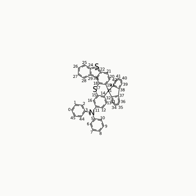 c1ccc(N(c2ccccc2)c2ccc3c(c2)Sc2c(ccc4sc5ccccc5c24)C32c3ccccc3-c3ccccc32)cc1